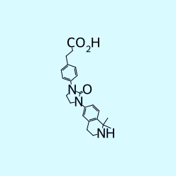 CC1(C)NCCc2cc(N3CCN(c4ccc(CCC(=O)O)cc4)C3=O)ccc21